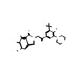 COc1cc2c(c(F)c1OC)/C(=N/Br)N(CC(=O)c1cc(N3CCOCC3)c(OC)c(C(C)(C)C)c1)C2